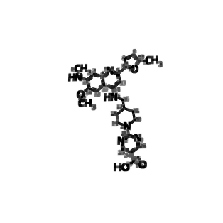 CNc1cc2nc(-c3ccc(C)o3)cc(NCC3CCN(c4ncc(C(=O)O)cn4)CC3)c2cc1OC